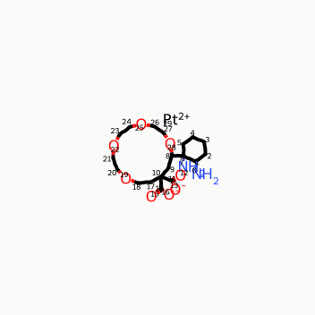 N[C@@H]1CCCC[C@]1(N)C1CC(C(=O)[O-])(C(=O)[O-])CCOCCOCCOCCO1.[Pt+2]